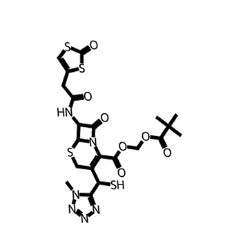 Cn1nnnc1C(S)C1=C(C(=O)OCOC(=O)C(C)(C)C)N2C(=O)C(NC(=O)Cc3csc(=O)s3)C2SC1